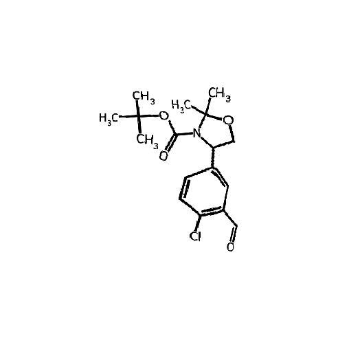 CC(C)(C)OC(=O)N1C(c2ccc(Cl)c(C=O)c2)COC1(C)C